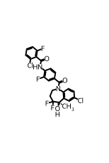 C[C@@]1(O)c2cc(Cl)ccc2N(C(=O)c2ccc(NC(=O)c3c(F)cccc3Cl)c(F)c2)CCC1(F)F